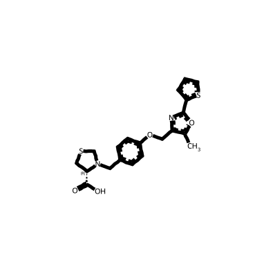 Cc1oc(-c2cccs2)nc1COc1ccc(CN2CSC[C@H]2C(=O)O)cc1